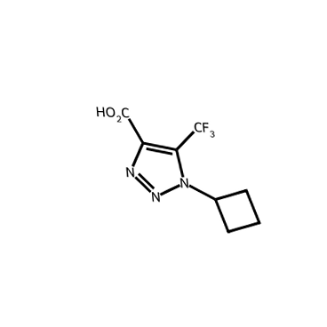 O=C(O)c1nnn(C2CCC2)c1C(F)(F)F